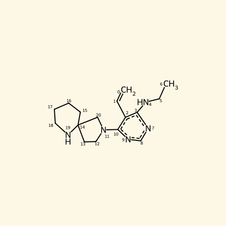 C=Cc1c(NCC)ncnc1N1CCC2(CCCCN2)C1